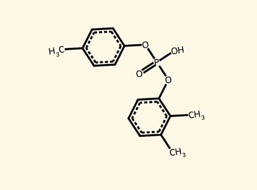 Cc1ccc(OP(=O)(O)Oc2cccc(C)c2C)cc1